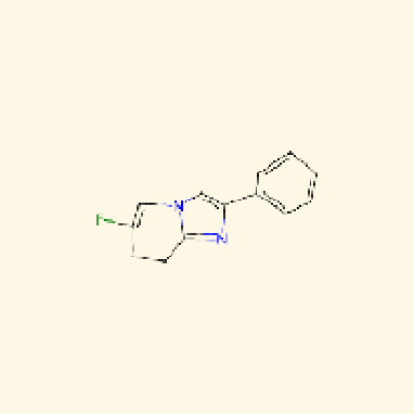 FC1=Cn2cc(-c3ccccc3)nc2CC1